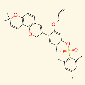 C=CCOC1=CC(OS(=O)(=O)c2c(C)cc(C)cc2C)C(C)C=C1C1=Cc2ccc3c(c2OC1)C=CC(C)(C)O3